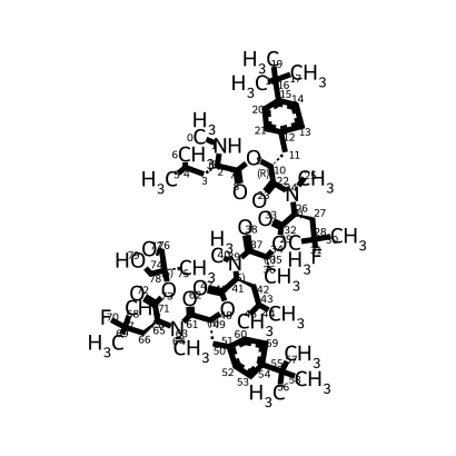 CN[C@@H](CC(C)C)C(=O)O[C@H](Cc1ccc(C(C)(C)C)cc1)C(=O)N(C)[C@@H](CC(C)(C)F)C(=O)O[C@H](C)C(=O)N(C)[C@@H](CC(C)C)C(=O)O[C@H](Cc1ccc(C(C)(C)C)cc1)C(=O)N(C)[C@@H](CC(C)(C)F)C(=O)O[C@](C)(C=O)CO